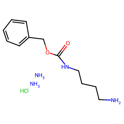 Cl.N.N.NCCCCNC(=O)OCc1ccccc1